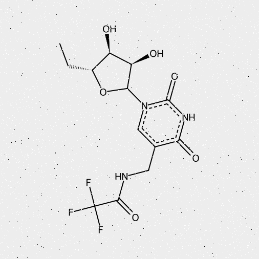 CC[C@H]1OC(n2cc(CNC(=O)C(F)(F)F)c(=O)[nH]c2=O)[C@H](O)[C@@H]1O